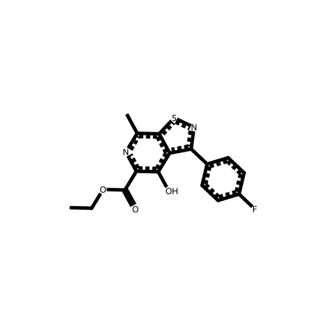 CCOC(=O)c1nc(C)c2snc(-c3ccc(F)cc3)c2c1O